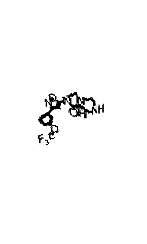 O=C1[C@H]2CNCCN2CCN1c1cc(-c2cccc(OC(F)(F)F)c2)no1